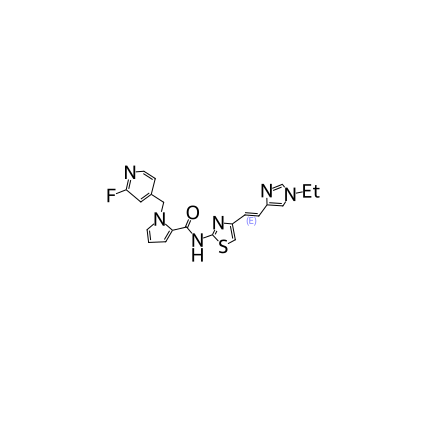 CCn1cnc(/C=C/c2csc(NC(=O)c3cccn3Cc3ccnc(F)c3)n2)c1